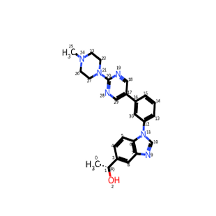 C[C@@H](O)c1ccc2c(c1)ncn2-c1cccc(-c2cnc(N3CCN(C)CC3)nc2)c1